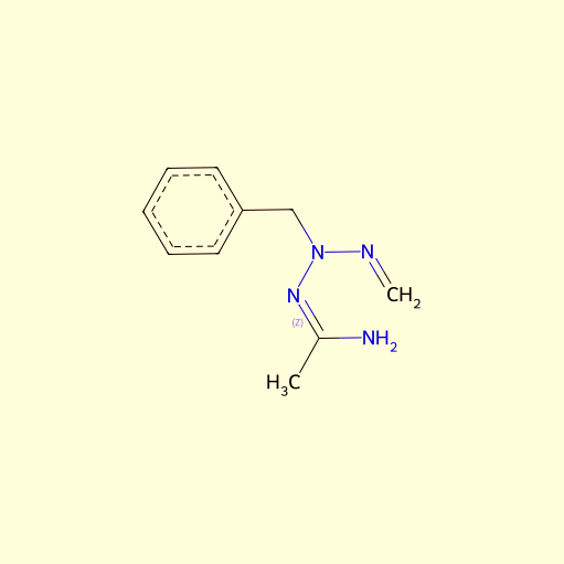 C=NN(Cc1ccccc1)/N=C(/C)N